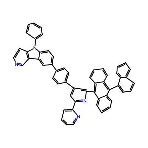 c1ccc(-n2c3ccncc3c3cc(-c4ccc(-c5cc(-c6ccccn6)nc(-c6c7ccccc7c(-c7cccc8ccccc78)c7ccccc67)c5)cc4)ccc32)cc1